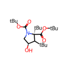 CC(C)(C)OC(=O)N1C[C@H](O)C(C(C)(C)C)[C@@]1(C(=O)OC(C)(C)C)C(C)(C)C